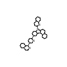 c1ccc2nc(-n3c4ccc(-c5ccc(-c6nccc7ccccc67)cn5)cc4c4c5ccccc5ccc43)ccc2c1